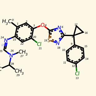 Cc1cc(Oc2nc(C3(c4ccc(Cl)cc4)CC3)ns2)c(Cl)cc1/N=C\N(C)C(C)C